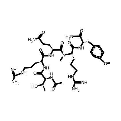 COc1ccc(C[C@H](NC(=O)[C@H](CCCNC(=N)N)N(C)C(=O)[C@H](CCC(N)=O)NC(=O)[C@H](CCCNC(=N)N)NC(=O)[C@@H](NC(C)=O)[C@@H](C)O)C(N)=O)cc1